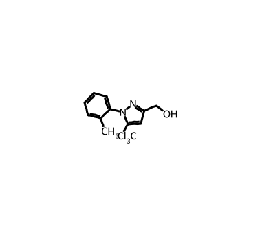 Cc1ccccc1-n1nc(CO)cc1C(Cl)(Cl)Cl